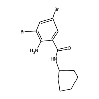 Nc1c(Br)cc(Br)cc1C(=O)NC1CCCCC1